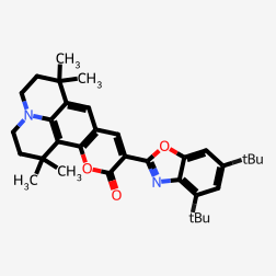 CC(C)(C)c1cc(C(C)(C)C)c2nc(-c3cc4cc5c6c(c4oc3=O)C(C)(C)CCN6CCC5(C)C)oc2c1